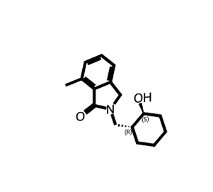 Cc1cccc2c1C(=O)N(C[C@H]1CCCC[C@@H]1O)C2